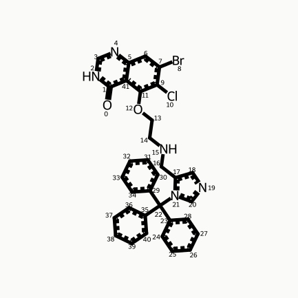 O=c1[nH]cnc2cc(Br)c(Cl)c(OCCNCc3cncn3C(c3ccccc3)(c3ccccc3)c3ccccc3)c12